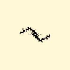 CCCC(=O)OCCC(C)CCCC(C)(C)c1cc(O)c(C(C)(C)CCCC(C)CCOC(=O)CCC)cc1O